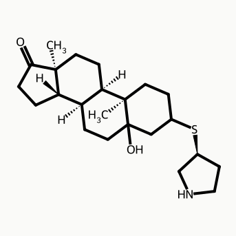 C[C@]12CC[C@@H]3[C@@H](CCC4(O)CC(S[C@H]5CCNC5)CC[C@]34C)[C@@H]1CCC2=O